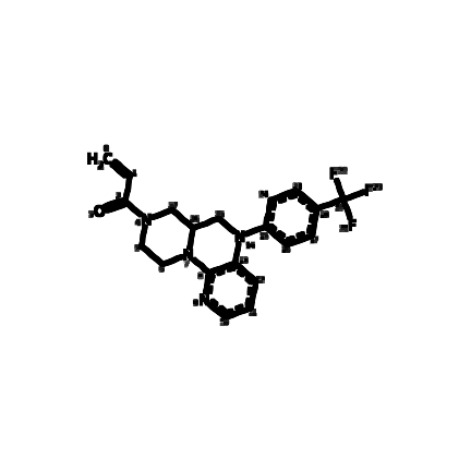 C=CC(=O)N1CCN2c3ncccc3N(c3ccc(C(F)(F)F)cc3)CC2C1